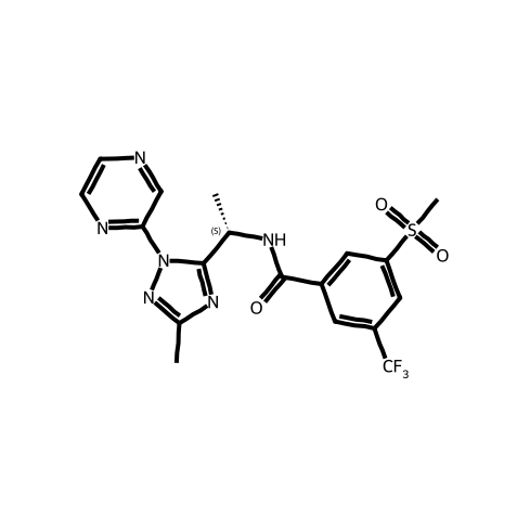 Cc1nc([C@H](C)NC(=O)c2cc(C(F)(F)F)cc(S(C)(=O)=O)c2)n(-c2cnccn2)n1